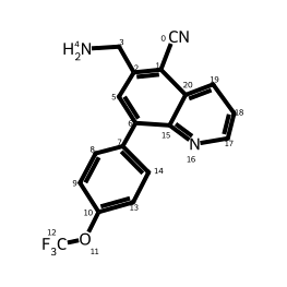 N#Cc1c(CN)cc(-c2ccc(OC(F)(F)F)cc2)c2ncccc12